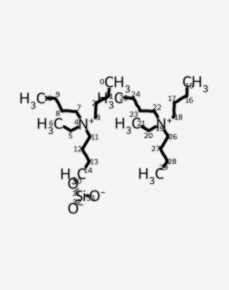 CCCC[N+](CC)(CCCC)CCCC.CCCC[N+](CC)(CCCC)CCCC.O=[Si]([O-])[O-]